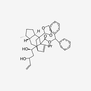 C=CC(O)C[C@@H](O)C12C[C@@H]3[C@H](C)CC[C@H]3C3(C4OCCO4)CC1C=C(C(C)C)C23C(=O)OC(c1ccccc1)c1ccccc1